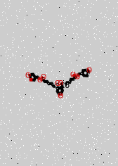 O=C(CCCC[CH2][Co](=[O])[CH]1CC2OC2C[CH]1[Co](=[O])[CH2]CCCCC(=O)OCC1CCC2OC2C1)OCC1CCC2OC2C1